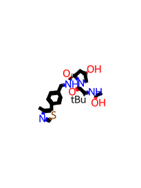 Cc1ncsc1-c1ccc(CNC(=O)[C@@H]2C[C@@H](O)CN2C(=O)[C@@H](NC(C)O)C(C)(C)C)cc1